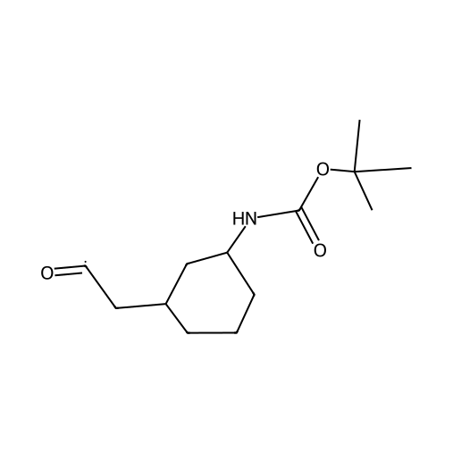 CC(C)(C)OC(=O)NC1CCCC(C[C]=O)C1